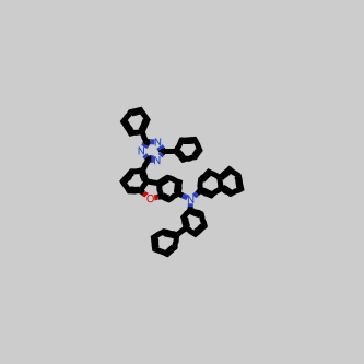 c1ccc(-c2cccc(N(c3ccc4ccccc4c3)c3ccc4c(c3)oc3cccc(-c5nc(-c6ccccc6)nc(-c6ccccc6)n5)c34)c2)cc1